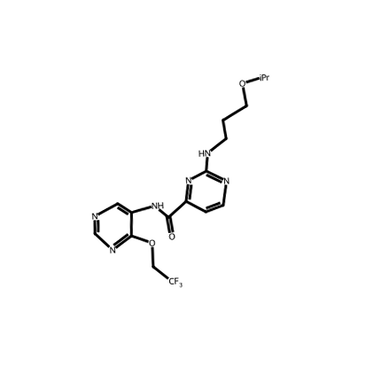 CC(C)OCCCNc1nccc(C(=O)Nc2cncnc2OCC(F)(F)F)n1